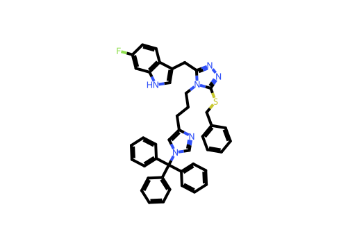 Fc1ccc2c(Cc3nnc(SCc4ccccc4)n3CCCc3cn(C(c4ccccc4)(c4ccccc4)c4ccccc4)cn3)c[nH]c2c1